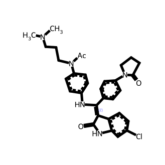 CC(=O)N(CCCN(C)C)c1ccc(N/C(=C2\C(=O)Nc3cc(Cl)ccc32)c2ccc(N3CCCC3=O)cc2)cc1